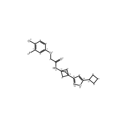 O=C(COc1ccc(Cl)c(F)c1)NC12CC(c3cc(C4CCC4)on3)(C1)C2